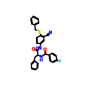 N#Cc1cc(NC(=O)C(Cc2ccccc2)NC(=O)c2ccc(F)cc2)ccc1SCc1ccccc1